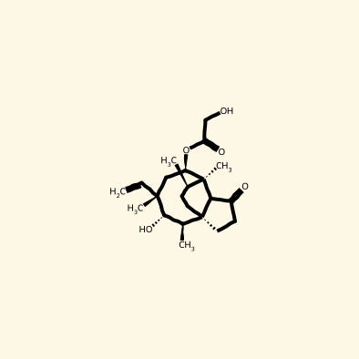 C=C[C@]1(C)C[C@@H](OC(=O)CO)[C@@]2(C)C3C(=O)CC[C@@]3(CC[C@H]2C)[C@@H](C)[C@@H]1O